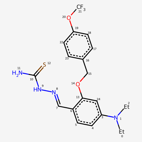 CCN(CC)c1ccc(/C=N/NC(N)=S)c(OCc2ccc(OC(F)(F)F)cc2)c1